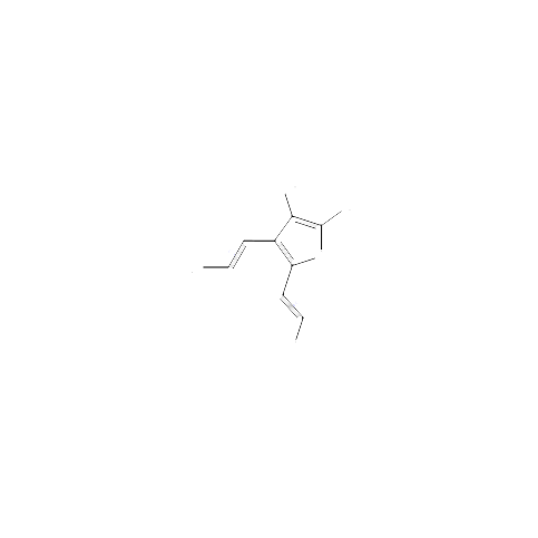 C/C=C/c1oc(S)c(C=O)c1/C=C/C